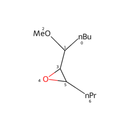 CCCCC(OC)C1OC1CCC